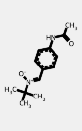 CC(=O)Nc1ccc(C=[N+]([O-])C(C)(C)C)cc1